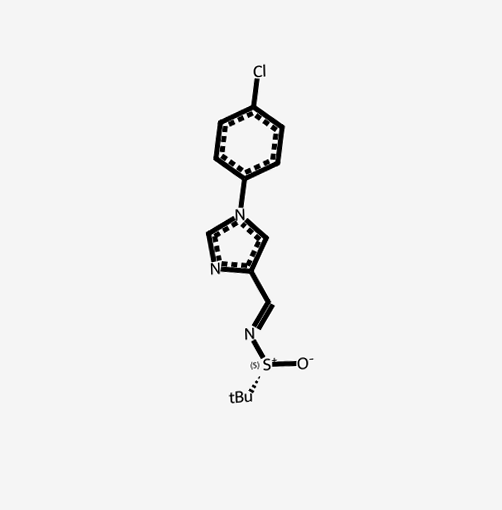 CC(C)(C)[S@@+]([O-])N=Cc1cn(-c2ccc(Cl)cc2)cn1